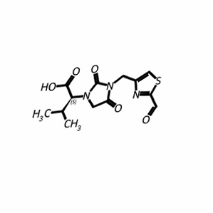 CC(C)[C@@H](C(=O)O)N1CC(=O)N(Cc2csc(C=O)n2)C1=O